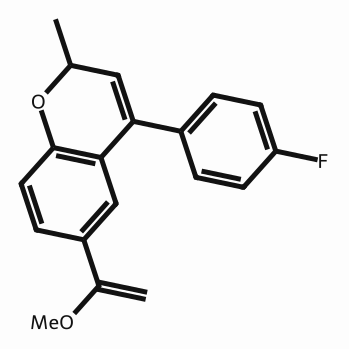 C=C(OC)c1ccc2c(c1)C(c1ccc(F)cc1)=CC(C)O2